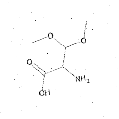 COC(OC)C(N)C(=O)O